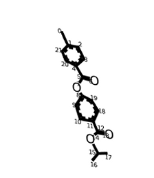 Cc1ccc(C(=O)Oc2ccc(C(=O)OC(C)C)cc2)cc1